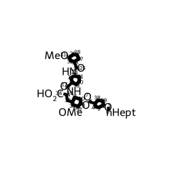 CCCCCCCOc1ccc(C(=O)Oc2ccc(CC(NC(=O)c3cccc(NC(=O)c4cccc(OC)c4)c3)C(=O)O)cc2OC)cc1